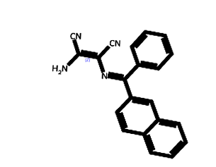 N#C/C(N)=C(\C#N)N=C(c1ccccc1)c1ccc2ccccc2c1